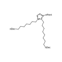 CCCCCCCCCCCCCCCCCCc1n(CCCCC)cc[n+]1CCCCCCCCCCCCCCCCC